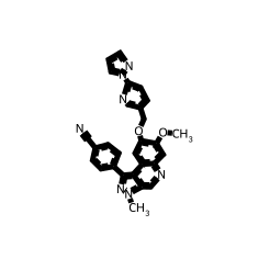 COc1cc2ncc3c(c(-c4ccc(C#N)cc4)nn3C)c2cc1OCc1ccc(-n2cccn2)nc1